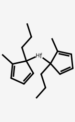 CCC[C]1([Hf][C]2(CCC)C=CC=C2C)C=CC=C1C